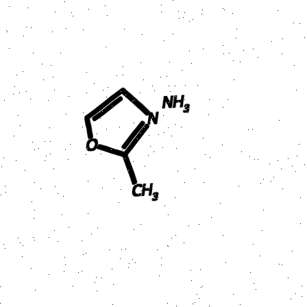 Cc1ncco1.N